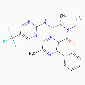 CCN(C(=O)c1ncc(C)nc1-c1ccccc1)[C@@H](C)CNc1ncc(C(F)(F)F)cn1